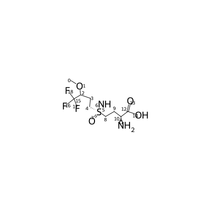 COC(CC[S@@](=N)(=O)CC[C@H](N)C(=O)O)C(F)(F)F